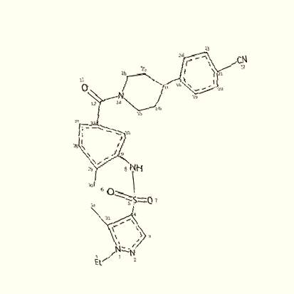 CCn1ncc(S(=O)(=O)Nc2cc(C(=O)N3CCC(c4ccc(C#N)cc4)CC3)ccc2C)c1C